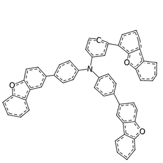 c1cc(-c2cccc3c2oc2ccccc23)cc(N(c2ccc(-c3ccc4oc5ccccc5c4c3)cc2)c2ccc(-c3ccc4oc5ccccc5c4c3)cc2)c1